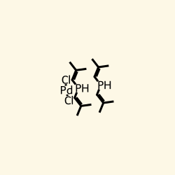 CC(C)=CPC=C(C)C.CC(C)=CPC=C(C)C.[Cl][Pd][Cl]